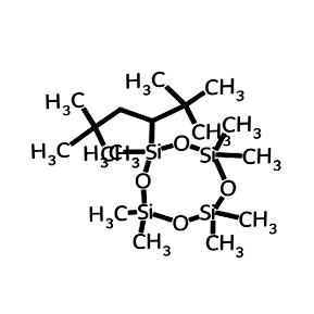 CC(C)(C)CC(C(C)(C)C)[Si]1(C)O[Si](C)(C)O[Si](C)(C)O[Si](C)(C)O1